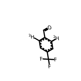 [2H]c1cc(C(F)(F)F)cc([2H])c1C=O